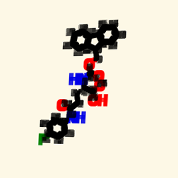 O=C(CC[C@H](NC(=O)OCC1c2ccccc2-c2ccccc21)C(=O)O)Nc1ccc(F)cc1